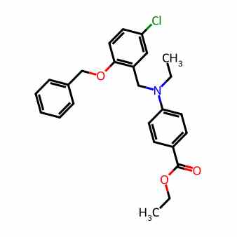 CCOC(=O)c1ccc(N(CC)Cc2cc(Cl)ccc2OCc2ccccc2)cc1